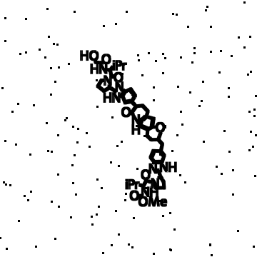 COC(=O)NC(C(=O)N1CCCC1c1nc2ccc(CC3CCc4cc5c(cc4OC3)CCC(c3ccc4nc(C6CCCN6C(=O)C(NC(=O)CO)C(C)C)[nH]c4c3)C(=O)N5)cc2[nH]1)C(C)C